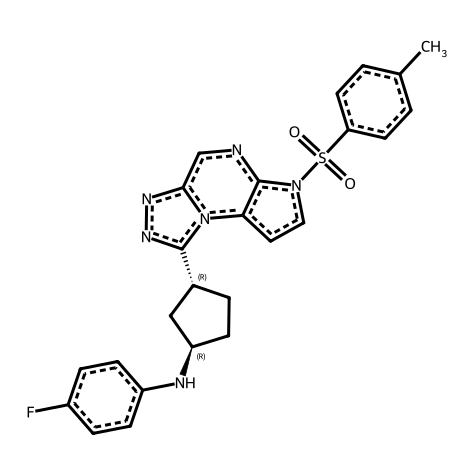 Cc1ccc(S(=O)(=O)n2ccc3c2ncc2nnc([C@@H]4CC[C@@H](Nc5ccc(F)cc5)C4)n23)cc1